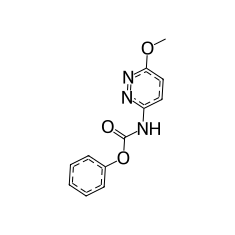 COc1ccc(NC(=O)Oc2ccccc2)nn1